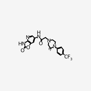 C[C@@H]1CN(CC(=O)Nc2cnc3[nH]c(=O)oc3c2)CCN1c1ccc(C(F)(F)F)cc1